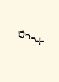 CS(C)(C)CCOCN1C=NCC1